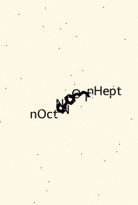 CCCCCCCCc1cnc(-c2ccc(OCCC(F)CCCCCCC)cc2)nc1